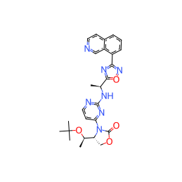 C[C@H](Nc1nccc(N2C(=O)OC[C@@H]2[C@@H](C)OC(C)(C)C)n1)c1nc(-c2cccc3ccncc23)no1